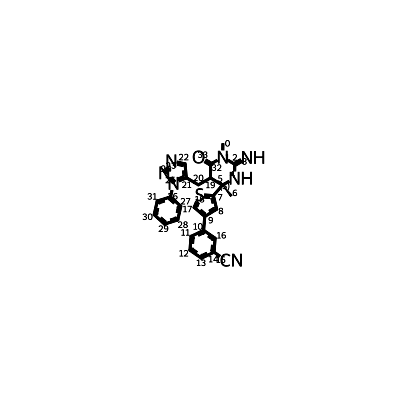 CN1C(=N)N[C@](C)(c2cc(-c3cccc(C#N)c3)cs2)C(Cc2cnnn2-c2ccccc2)C1=O